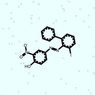 O=[N+]([O-])c1cc(/N=N/c2c(I)cccc2-c2ccccc2)ccc1O